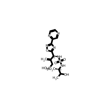 C=C(CC(=O)O)[C@H](NS(=O)(=O)N[C@H](C(=O)O)C(C)O)c1nc(-c2cnccn2)no1